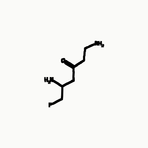 NCCC(=O)CC(N)CF